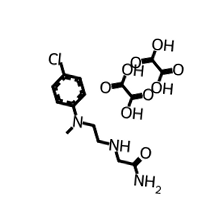 CN(CCNCC(N)=O)c1ccc(Cl)cc1.O=C(O)C(=O)O.O=C(O)C(=O)O